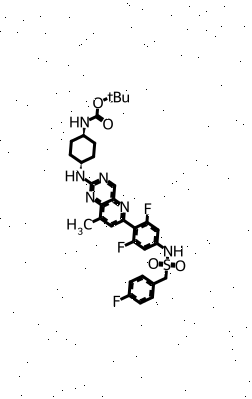 Cc1cc(-c2c(F)cc(NS(=O)(=O)Cc3ccc(F)cc3)cc2F)nc2cnc(N[C@H]3CC[C@H](NC(=O)OC(C)(C)C)CC3)nc12